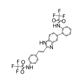 O=S(=O)(Nc1ccc(C=Cc2nc3cc(-c4ccccc4NS(=O)(=O)C(F)(F)F)ccc3[nH]2)cc1)C(F)(F)F